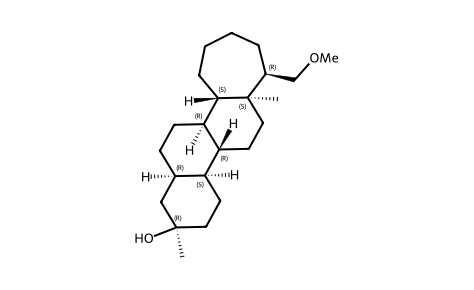 COC[C@@H]1CCCC[C@H]2[C@@H]3CC[C@@H]4C[C@](C)(O)CC[C@@H]4[C@H]3CC[C@]12C